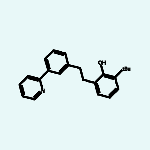 CC(C)(C)c1cccc(CCc2cccc(-c3ccccn3)c2)c1O